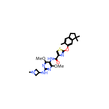 COc1nc(NC2CN(C)C2)nc(OC)c1NC(=O)c1csc(Oc2cc3c(cc2C)CCC3(C)C)n1